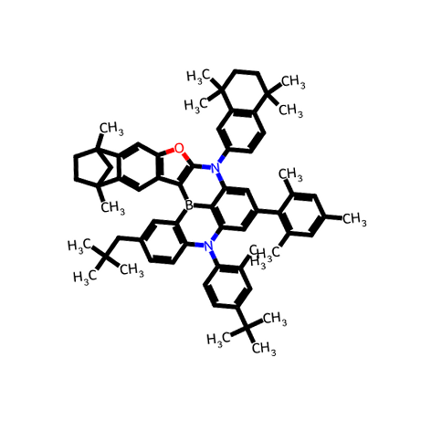 Cc1cc(C)c(-c2cc3c4c(c2)N(c2ccc5c(c2)C(C)(C)CCC5(C)C)c2oc5cc6c(cc5c2B4c2cc(CC(C)(C)C)ccc2N3c2ccc(C(C)(C)C)cc2C)C2(C)CCC6(C)C2)c(C)c1